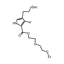 CCCCCCCCCCCCc1c[nH]c(C(=O)OCCOCCOCC)c1F